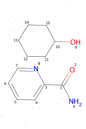 NC(=O)c1ccccn1.OC1CCCCC1